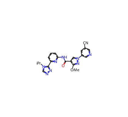 COc1nn(-c2cncc(C#N)c2)cc1C(=O)Nc1cccc(-c2nncn2C(C)C)n1